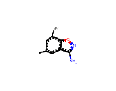 Cc1cc(C(C)C)c2onc(N)c2c1